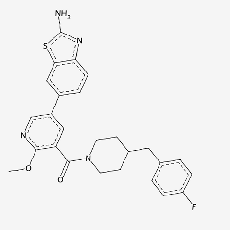 COc1ncc(-c2ccc3nc(N)sc3c2)cc1C(=O)N1CCC(Cc2ccc(F)cc2)CC1